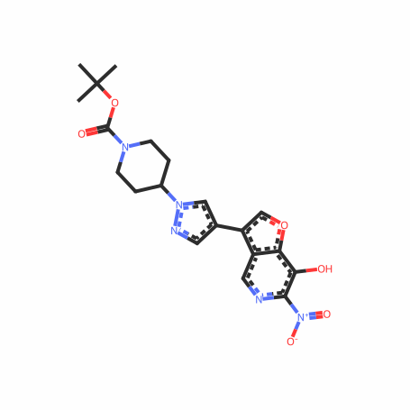 CC(C)(C)OC(=O)N1CCC(n2cc(-c3coc4c(O)c([N+](=O)[O-])ncc34)cn2)CC1